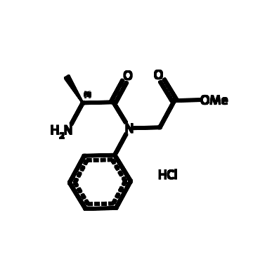 COC(=O)CN(C(=O)[C@H](C)N)c1ccccc1.Cl